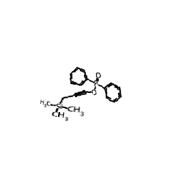 C[Si](C)(C)CC#COP(=O)(c1ccccc1)c1ccccc1